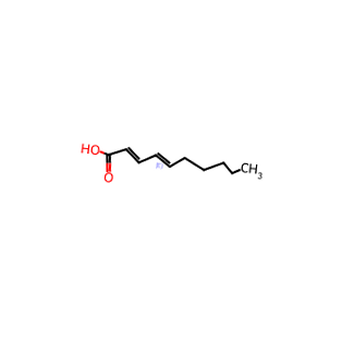 CCCCC/C=C/C=CC(=O)O